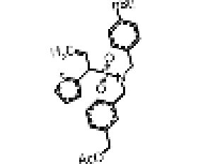 C=CC(c1cccs1)S(=O)(=O)N(Cc1ccc(CCCC)cc1)Cc1cccc(COC(C)=O)c1